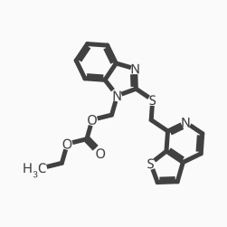 CCOC(=O)OCn1c(SCc2nccc3ccsc23)nc2ccccc21